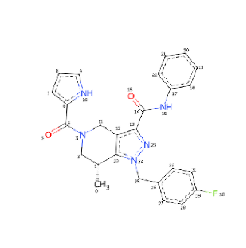 C[C@@H]1CN(C(=O)c2ccc[nH]2)Cc2c(C(=O)Nc3ccccc3)nn(Cc3ccc(F)cc3)c21